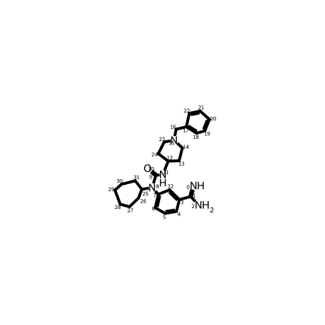 N=C(N)c1cccc(N(C(=O)NC2CCN(Cc3ccccc3)CC2)C2CCCCCC2)c1